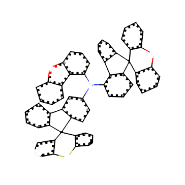 c1ccc2c(c1)Oc1ccccc1C21c2ccccc2-c2c(N(c3ccc4c(c3)-c3ccccc3C43c4ccccc4Sc4ccccc43)c3cccc4oc5ccccc5c34)cccc21